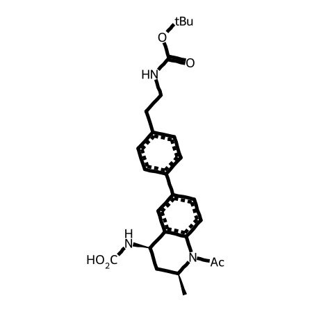 CC(=O)N1c2ccc(-c3ccc(CCNC(=O)OC(C)(C)C)cc3)cc2[C@H](NC(=O)O)C[C@@H]1C